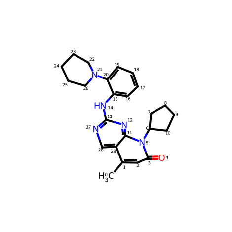 Cc1cc(=O)n(C2CCCC2)c2nc(Nc3ccccc3N3CCCCC3)ncc12